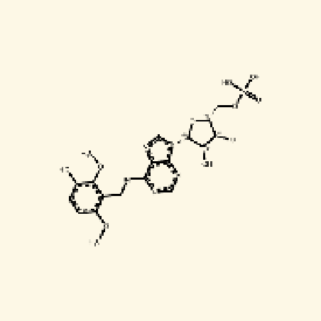 COc1ccc(O)c(OC)c1CNc1ncnc2c1ncn2[C@@H]1O[C@H](COP(=O)(O)O)[C@@H](O)[C@H]1O